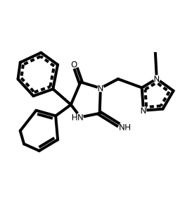 Cn1ccnc1CN1C(=N)NC(C2=CCCC=C2)(c2ccccc2)C1=O